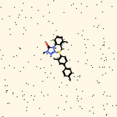 Cc1ccc(-c2ccc(SCc3c(C)cccc3-n3nnn(C)c3=O)c(C)c2)cc1